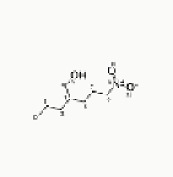 CCCC(CO)CCC[N+](=O)[O-]